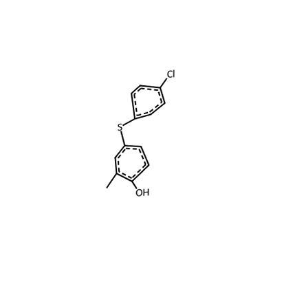 Cc1cc(Sc2ccc(Cl)cc2)ccc1O